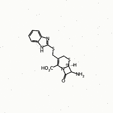 NC1C(=O)N2C(C(=O)O)=C(CSc3nc4ccccc4[nH]3)CS[C@@H]12